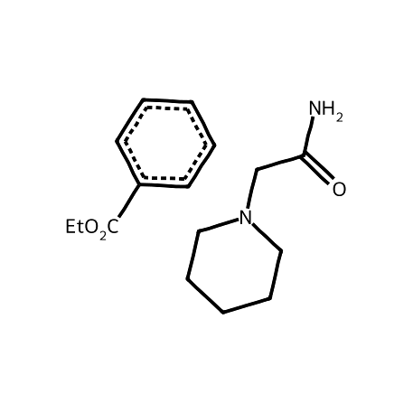 CCOC(=O)c1ccccc1.NC(=O)CN1CCCCC1